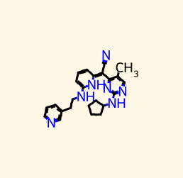 Cc1cnc(NC2CCCC2)nc1C(C#N)=C1C=CC=C(NCCc2cccnc2)N1